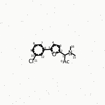 CC(=O)C(c1ccc(-c2cccc(Cl)c2)o1)N(C)C